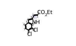 CCOC(=O)/C=C/c1cc2ccc(Cl)c(Cl)c2[nH]1